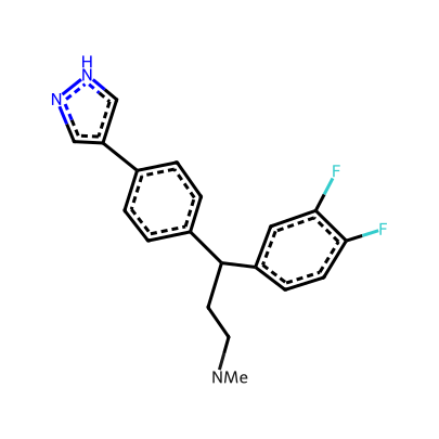 CNCCC(c1ccc(-c2cn[nH]c2)cc1)c1ccc(F)c(F)c1